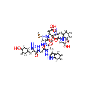 CSCC[C@H](NC(=O)[C@H](Cc1c[nH]c2ccccc12)NC(=O)CNC(=O)[C@@H](N)Cc1ccc(O)cc1)C(=O)N[C@@H](CC(=O)O)C(=O)N[C@@H](Cc1ccccc1)C(=O)NCC(=O)O